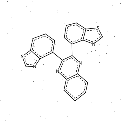 c1ccc2nc(-c3cccc4scnc34)c(-c3cccc4scnc34)nc2c1